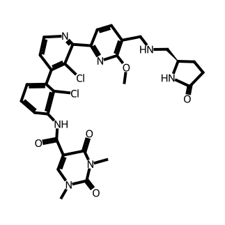 COc1nc(-c2nccc(-c3cccc(NC(=O)c4cn(C)c(=O)n(C)c4=O)c3Cl)c2Cl)ccc1CNC[C@H]1CCC(=O)N1